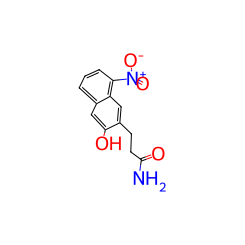 NC(=O)CCc1cc2c([N+](=O)[O-])cccc2cc1O